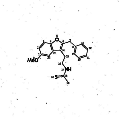 COc1ccc2oc(Cc3ccccc3)c(CCNC(C)=S)c2c1